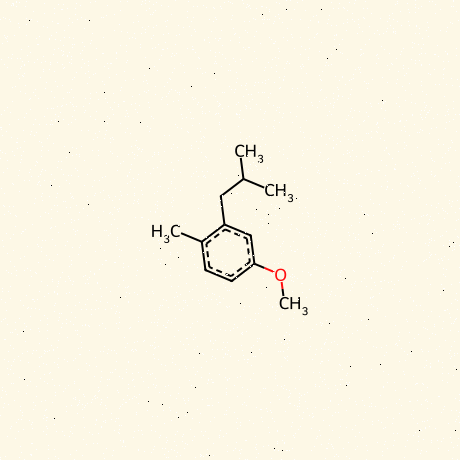 COc1ccc(C)c(CC(C)C)c1